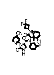 CC1([C@@H](C(=O)NC2CC(F)(F)C2)N(C(=O)[C@@H]2CNC(=O)N2c2cc(C#N)ccn2)c2cccc(F)c2)CC=CC=C1Cl